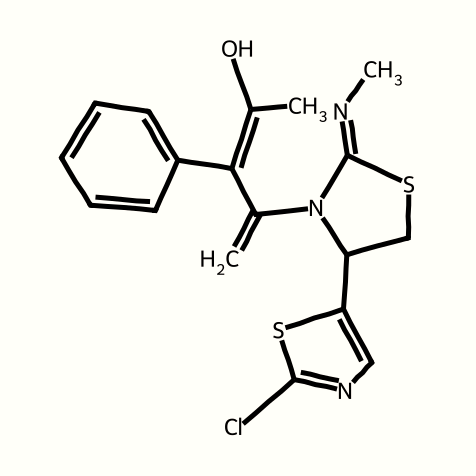 C=C(/C(=C(\C)O)c1ccccc1)N1/C(=N/C)SCC1c1cnc(Cl)s1